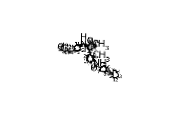 Cc1c(NC(=O)c2ccc(N3CCCCC3)cc2)cccc1-c1cn(C)c(=O)c(Nc2ccc(CN3CCOCC3)cc2)n1